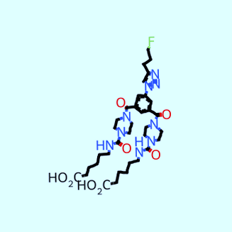 O=C(O)CCCCCNC(=O)N1CCN(C(=O)c2cc(C(=O)N3CCN(C(=O)NCCCCCC(=O)O)CC3)cc(-n3cc(CCCF)nn3)c2)CC1